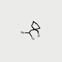 CCCC(O)C1(CC)CCCC1